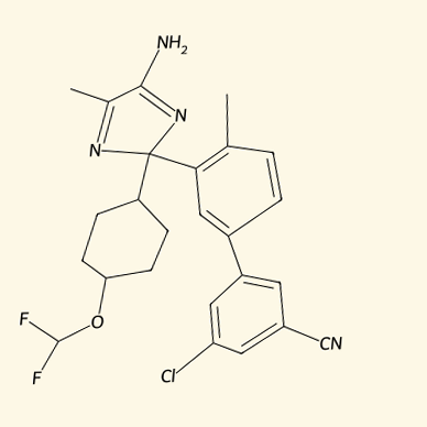 CC1=NC(c2cc(-c3cc(Cl)cc(C#N)c3)ccc2C)(C2CCC(OC(F)F)CC2)N=C1N